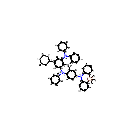 C[SH]1(C)(C)c2ccccc2N(c2ccc3c(c2)B2c4ccccc4N(c4ccccc4)c4cc(C5CCCCC5)cc(c42)N3c2ccccc2)c2ccccc21